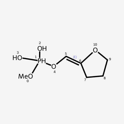 CO[PH](O)(O)O/C=C1\CCCO1